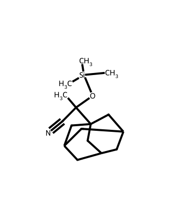 CC(C#N)(O[Si](C)(C)C)C12CC3CC(CC(C3)C1)C2